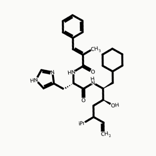 C=CC(C[C@H](O)[C@H](CC1CCCCC1)NC(=O)[C@H](Cc1c[nH]cn1)NC(=O)C(C)=Cc1ccccc1)C(C)C